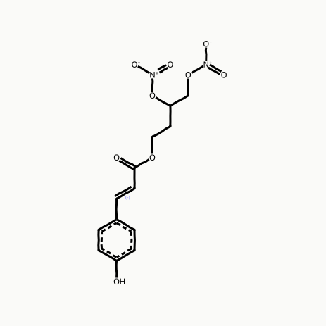 O=C(/C=C/c1ccc(O)cc1)OCCC(CO[N+](=O)[O-])O[N+](=O)[O-]